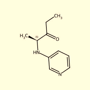 CCC(=O)[C@H](C)Nc1cccnc1